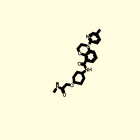 Cc1ccc(N2CCOc3c(C(=O)NC4CCC(OCC(=O)N(C)C)CC4)cccc32)nc1